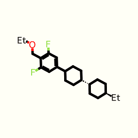 CCOCc1c(F)cc(C2CCC([C@H]3CC[C@H](CC)CC3)CC2)cc1F